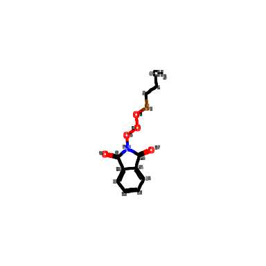 CCCSOOON1C(=O)c2ccccc2C1=O